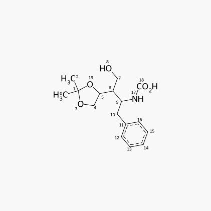 CC1(C)OCC(C(CO)C(Cc2ccccc2)NC(=O)O)O1